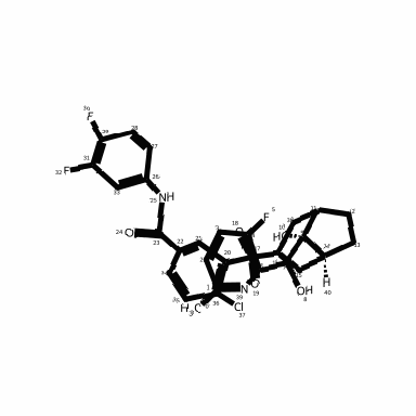 Cc1ccc(F)c(C(O)[C@@]2(O)C3CC[C@H]2CC(S(=O)(=O)c2cc(C(=O)Nc4ccc(F)c(F)c4)ccc2Cl)C3)n1